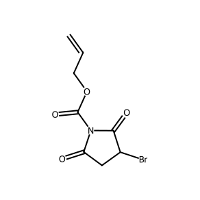 C=CCOC(=O)N1C(=O)CC(Br)C1=O